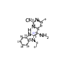 CCN1/C(=C(\N)c2cc(C)nc(Cl)n2)Nc2ccccc21